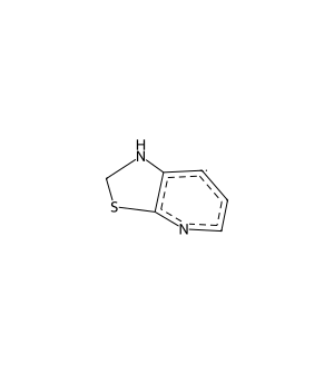 [c]1ccnc2c1NCS2